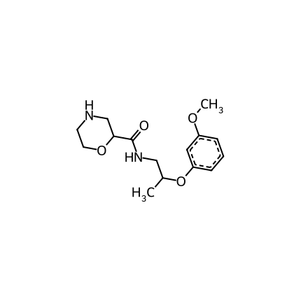 COc1cccc(OC(C)CNC(=O)C2CNCCO2)c1